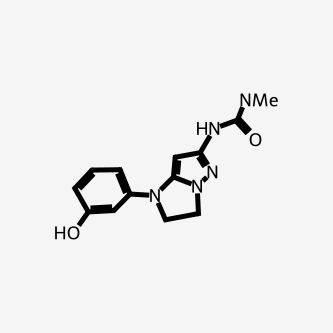 CNC(=O)Nc1cc2n(n1)CCN2c1cccc(O)c1